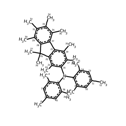 Cc1cc(C)c(N(c2c(C)cc(C)cc2C)c2c(C)c(C)c3c(c2C)C(C)(C)c2c(C)c(C)c(C)c(C)c2-3)c(C)c1